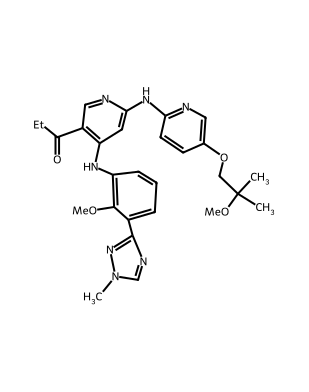 CCC(=O)c1cnc(Nc2ccc(OCC(C)(C)OC)cn2)cc1Nc1cccc(-c2ncn(C)n2)c1OC